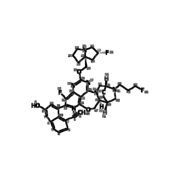 C#Cc1cccc2cc(O)cc(-c3nc4c5c(nc(OC[C@@]67CCCN6C[C@H](F)C7)nc5c3F)N3C[C@H]5CC[C@H](CN5CCCF)[C@H]3CO4)c12